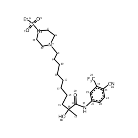 CCS(=O)(=O)N1CCN(CCCCCCCCC(C)(O)C(=O)Nc2ccc(C#N)c(C(F)(F)F)c2)CC1